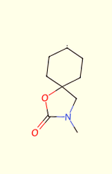 CN1CC2(CC[CH]CC2)OC1=O